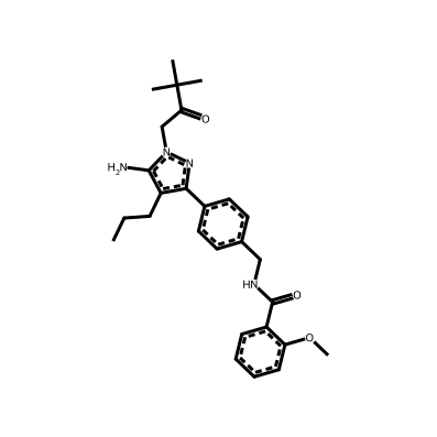 CCCc1c(-c2ccc(CNC(=O)c3ccccc3OC)cc2)nn(CC(=O)C(C)(C)C)c1N